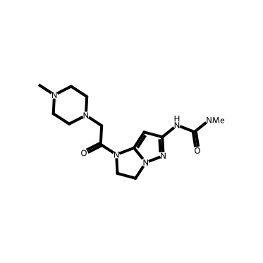 CNC(=O)Nc1cc2n(n1)CCN2C(=O)CN1CCN(C)CC1